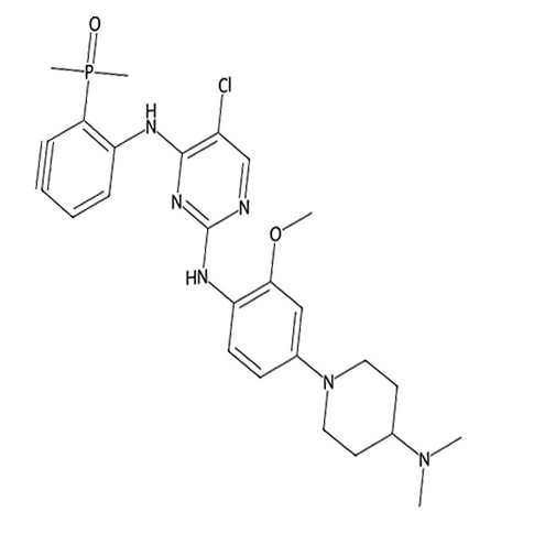 COc1cc(N2CCC(N(C)C)CC2)ccc1Nc1ncc(Cl)c(Nc2ccc#cc2P(C)(C)=O)n1